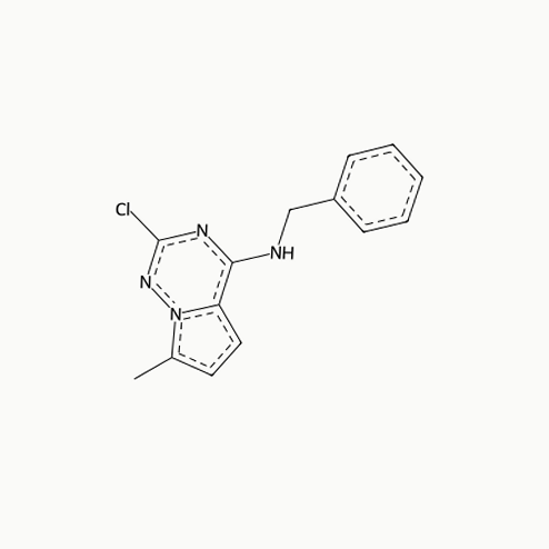 Cc1ccc2c(NCc3ccccc3)nc(Cl)nn12